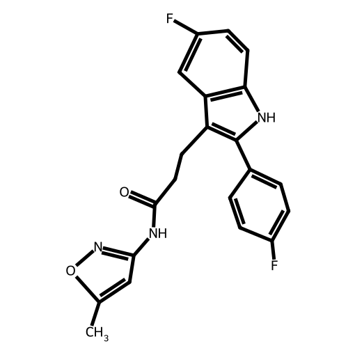 Cc1cc(NC(=O)CCc2c(-c3ccc(F)cc3)[nH]c3ccc(F)cc23)no1